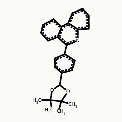 CC1(C)OC(c2ccc(-c3nc4ccccc4c4ccccc34)cc2)OC1(C)C